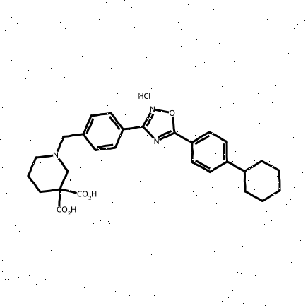 Cl.O=C(O)C1(C(=O)O)CCCN(Cc2ccc(-c3noc(-c4ccc(C5CCCCC5)cc4)n3)cc2)C1